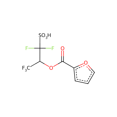 O=C(OC(C(F)(F)F)C(F)(F)S(=O)(=O)O)c1ccco1